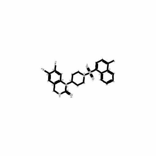 Cc1ccc(S(=O)(=O)N2CCC(N3C(=O)OCc4cc(F)c(F)cc43)CC2)c2ccccc12